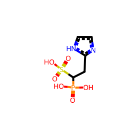 O=P(O)(O)C(Cc1ncc[nH]1)S(=O)(=O)O